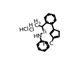 CC1=CCC(c2ccccc2[CH](C)[Ti][NH]c2ccccc2)=C1.Cl.Cl